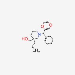 C=CCC1(CO)CCCN(C(C2=CC=CCC2)C2=COC=CO2)C1